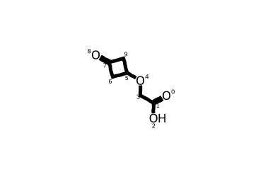 O=C(O)COC1CC(=O)C1